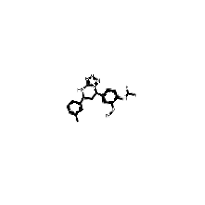 CCOc1cc(C2CC(c3cccc(C)c3)Nc3nnnn32)ccc1OC(F)F